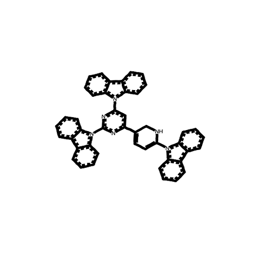 C1=C(c2cc(-n3c4ccccc4c4ccccc43)nc(-n3c4ccccc4c4ccccc43)n2)CNC(n2c3ccccc3c3ccccc32)=C1